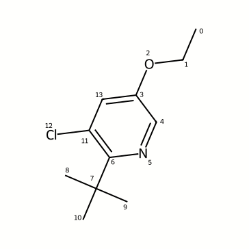 CCOc1cnc(C(C)(C)C)c(Cl)c1